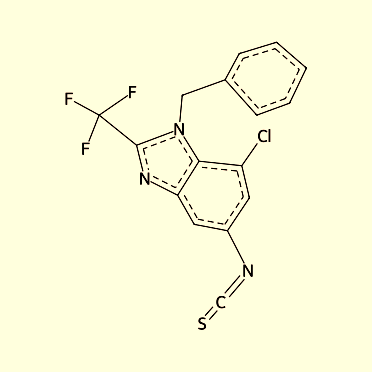 FC(F)(F)c1nc2cc(N=C=S)cc(Cl)c2n1Cc1ccccc1